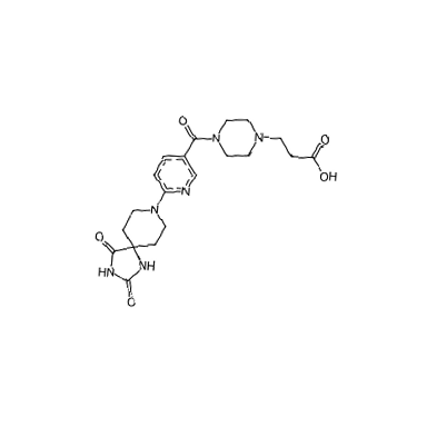 O=C(O)CCN1CCN(C(=O)c2ccc(N3CCC4(CC3)NC(=O)NC4=O)nc2)CC1